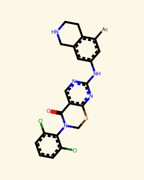 CC(=O)c1cc(Nc2ncc3c(n2)SCN(c2c(Cl)cccc2Cl)C3=O)cc2c1CCNC2